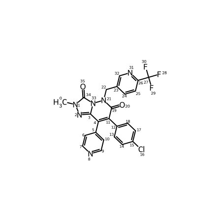 Cn1nc2c(-c3ccncc3)c(-c3ccc(Cl)cc3)c(=O)n(Cc3ccc(C(F)(F)F)nc3)n2c1=O